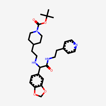 CC(C)(C)OC(=O)N1CCC(CCNC(C(=O)NCCc2ccncc2)c2ccc3c(c2)OCO3)CC1